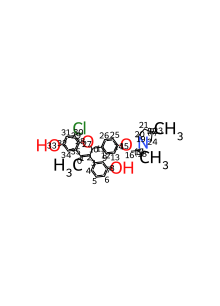 CC1=C(c2cccc(O)c2)C(c2ccc(OC[C@H](C)N3CC[C@@H](C)C3)cc2)Oc2c(Cl)cc(O)cc21